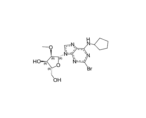 CO[C@@H]1[C@H](O)[C@@H](CO)O[C@H]1n1cnc2c(NC3CCCC3)nc(Br)nc21